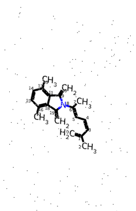 C=C(C)/C=C\C=C(/C)n1c(=C)c2c(C)ccc(C)c2c1=C